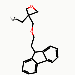 CCC1(COCCC2c3ccccc3-c3ccccc32)COC1